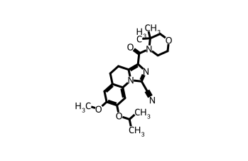 COc1cc2c(cc1OC(C)C)-n1c(C#N)nc(C(=O)N3CCOCC3(C)C)c1CC2